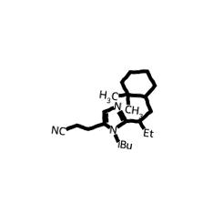 CCC(CC1CCCCC1(C)C)c1ncc(CCC#N)n1C(C)CC